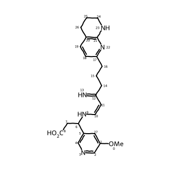 COc1cncc(C(CC(=O)O)N/C=C\C(=N)CCCc2ccc3c(n2)NCCC3)c1